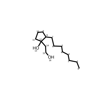 CCCCCCCCC1CCCC1(O)CCO